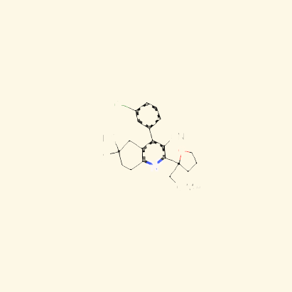 COCC1(c2nc3c(c(-c4cccc(Cl)c4)c2C#N)CC(C)(C)CC3)CCCO1